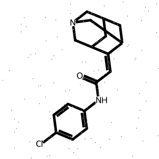 O=C(C=C1C2CC3CC1CN(C3)C2)Nc1ccc(Cl)cc1